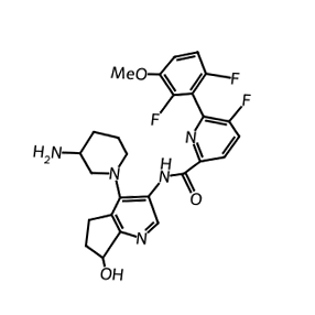 COc1ccc(F)c(-c2nc(C(=O)Nc3cnc4c(c3N3CCCC(N)C3)CCC4O)ccc2F)c1F